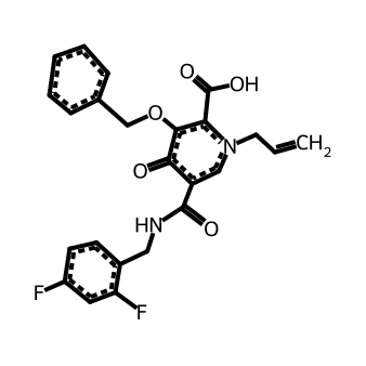 C=CCn1cc(C(=O)NCc2ccc(F)cc2F)c(=O)c(OCc2ccccc2)c1C(=O)O